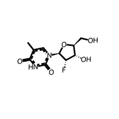 Cc1cn([C@H]2O[C@@H](CO)[C@H](O)[C@@H]2F)c(=O)[nH]c1=O